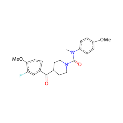 COc1ccc(N(C)C(=O)N2CCC(C(=O)c3ccc(OC)c(F)c3)CC2)cc1